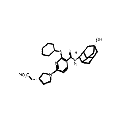 O=C(O)C[C@H]1CCN(c2ccc(C(=O)N[C@H]3C4CC5CC3C[C@](O)(C5)C4)c(SC3CCCCC3)n2)C1